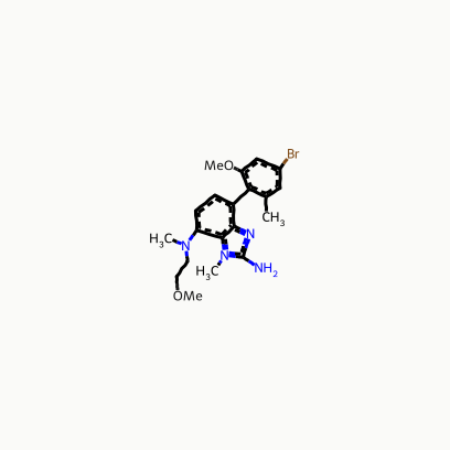 COCCN(C)c1ccc(-c2c(C)cc(Br)cc2OC)c2nc(N)n(C)c12